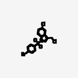 O=S(=O)(c1ccc(Br)cc1)n1cc(CCl)c2cc(Cl)ccc21